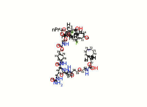 CCCC1O[C@@H]2C[C@H]3[C@@H]4C[C@H](F)C5=CC(=O)C=C[C@]5(C)[C@@]4(F)[C@@H](O)C[C@]3(C)[C@]2(C(=O)COCNC(=O)OCc2ccc(NC(=O)[C@H](CCCNC(N)=O)NC(=O)[C@@H](NC(=O)CCOCCNC(O)OC[C@@H]3[C@@H]4CC/C=C\CC[C@@H]43)C(C)C)cc2)O1